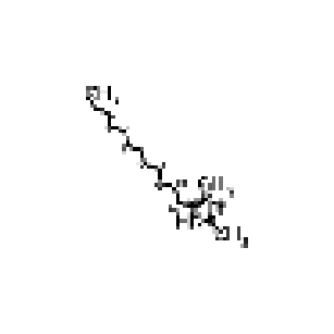 CCCCCCCCCCCCc1[nH]c(C)nc1C